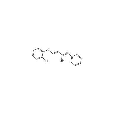 SC(C=CSc1ccccc1Cl)=Nc1ccccc1